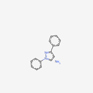 N.c1ccc(-c2ccn(-c3ccccc3)n2)cc1